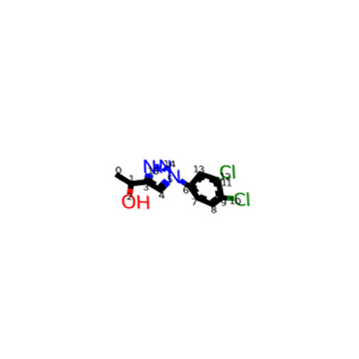 CC(O)c1cn(-c2ccc(Cl)c(Cl)c2)nn1